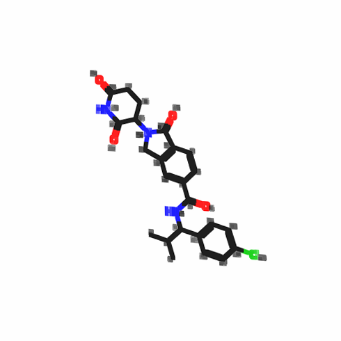 CC(C)C(NC(=O)c1ccc2c(c1)CN(C1CCC(=O)NC1=O)C2=O)c1ccc(Cl)cc1